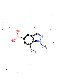 Cc1cc(B(O)O)cc2cnn(C)c12